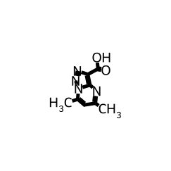 Cc1cc(C)n2nnc(C(=O)O)c2n1